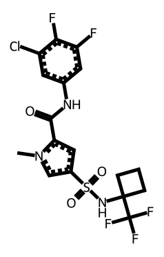 Cn1cc(S(=O)(=O)NC2(C(F)(F)F)CCC2)cc1C(=O)Nc1cc(F)c(F)c(Cl)c1